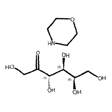 C1COCCN1.O=C(CO)[C@@H](O)[C@@H](O)[C@H](O)CO